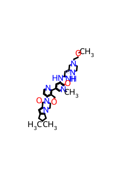 COCCN1CCN/C(=C\C(=N)Nc2cc(-c3nccc(N4CCn5c(cc6c5CC(C)(C)C6)C4=O)c3C=O)cn(C)c2=O)C1